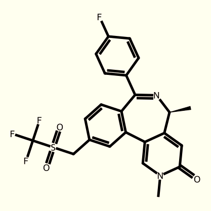 C[C@@H]1N=C(c2ccc(F)cc2)c2ccc(CS(=O)(=O)C(F)(F)F)cc2-c2cn(C)c(=O)cc21